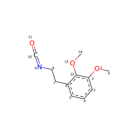 COc1cccc(CCN=C=O)c1OC